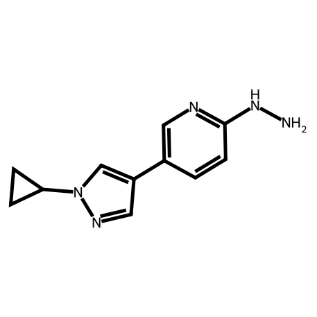 NNc1ccc(-c2cnn(C3CC3)c2)cn1